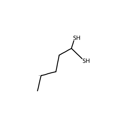 C[CH]CCC(S)S